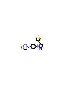 c1cc(-c2ccsc2)n(-c2ccc(N3CCOCC3)cc2)n1